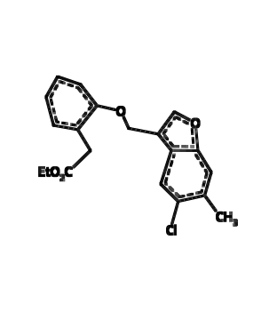 CCOC(=O)Cc1ccccc1OCc1coc2cc(C)c(Cl)cc12